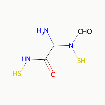 NC(C(=O)NS)N(S)C=O